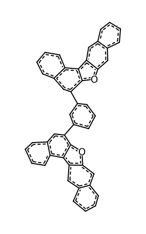 c1cc(-c2cc3ccccc3c3c2oc2cc4ccccc4cc23)cc(-c2cc3ccccc3c3c2oc2cc4ccccc4cc23)c1